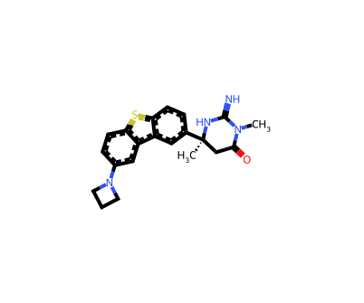 CN1C(=N)N[C@](C)(c2ccc3sc4ccc(N5CCC5)cc4c3c2)CC1=O